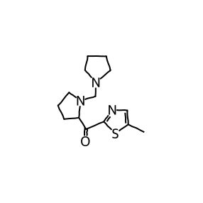 Cc1cnc(C(=O)C2CCCN2CN2CCCC2)s1